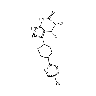 N#Cc1cnc(N2CCC(c3n[nH]c4c3C(C(F)(F)F)C(O)C(=O)N4)CC2)cn1